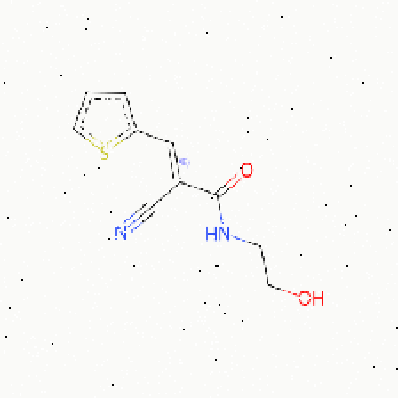 N#C/C(=C\c1cccs1)C(=O)NCCO